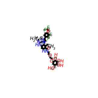 C=C/N=C(/Nc1ccc(C(=O)NCCOCCO[C@H]2C[C@H](CO)[C@H](O)[C@H](O)[C@H]2O)c(CC)c1)c1ncc(-c2ccc(OC(F)F)c(F)c2F)n1C